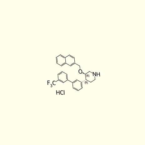 Cl.FC(F)(F)c1cccc(-c2cccc([C@H]3CCNC[C@@H]3OCc3ccc4ccccc4c3)c2)c1